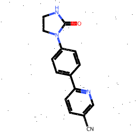 N#Cc1ccc(-c2ccc(N3CCNC3=O)cc2)nc1